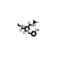 CCNC(=O)c1cc(C(=O)N[C@@H]2C[C@H]2C)cn(Cc2cccc(OC)c2)c1=O